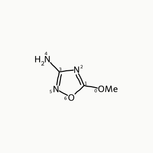 COc1nc(N)no1